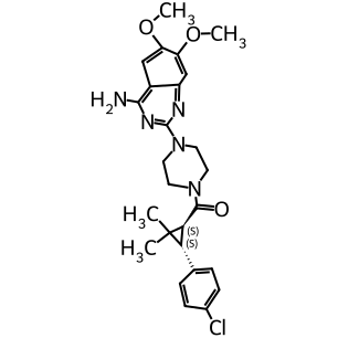 COc1cc2nc(N3CCN(C(=O)[C@H]4[C@H](c5ccc(Cl)cc5)C4(C)C)CC3)nc(N)c2cc1OC